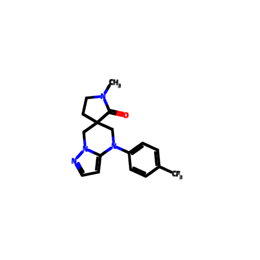 CN1CCC2(CN(c3ccc(C(F)(F)F)cc3)c3ccnn3C2)C1=O